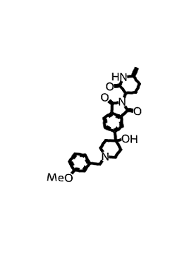 C=C1CCC(N2C(=O)c3ccc(C4(O)CCN(Cc5cccc(OC)c5)CC4)cc3C2=O)C(=O)N1